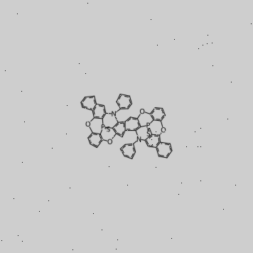 S=P12c3c4cccc3Oc3c1c(cc1ccccc31)N(c1ccccc1)c1c2c(cc2c3c5c(cc12)Oc1cccc2c1P5(=S)c1c(cc5ccccc5c1O2)N3c1ccccc1)O4